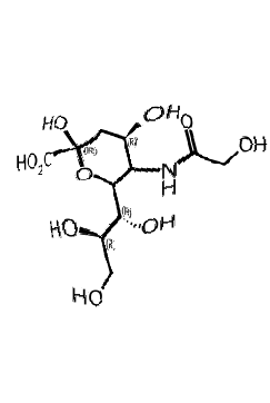 O=C(CO)NC1C([C@H](O)[C@H](O)CO)O[C@@](O)(C(=O)O)C[C@H]1O